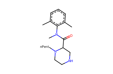 CCCCCN1CCNCC1C(=O)N(C)c1c(C)cccc1C